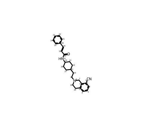 N#Cc1cccc2c1CN(CCC1CCC(NC(=O)/C=C/c3ccccc3)CC1)CC2